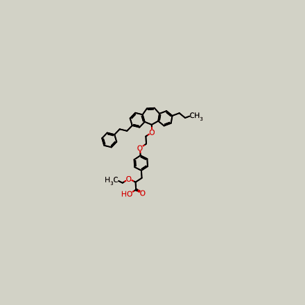 CCCc1ccc2c(c1)C=Cc1ccc(CCc3ccccc3)cc1C2OCCOc1ccc(CC(OCC)C(=O)O)cc1